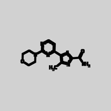 Cc1nc(C(N)=O)sc1-c1ccnc(N2CCOCC2)n1